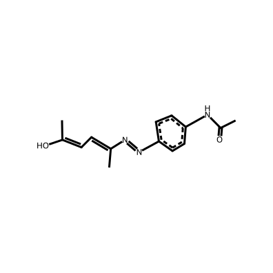 CC(=O)Nc1ccc(N=N/C(C)=C/C=C(\C)O)cc1